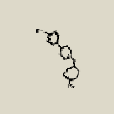 CC(C)c1ccc(C2CCN(CC3CCC(C(C)C)CC3)CC2)cc1